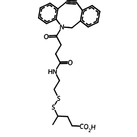 CC(CCC(=O)O)SSCCNC(=O)CCC(=O)N1Cc2ccccc2C#Cc2ccccc21